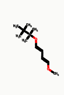 COC=CC=CO[Si](C)(C)C(C)(C)C